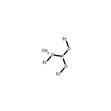 C.CCOP(OCC)OCC